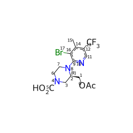 CC(=O)OC[C@H]1CN(C(=O)O)CCN1c1ncc(C(F)(F)F)c(C)c1Br